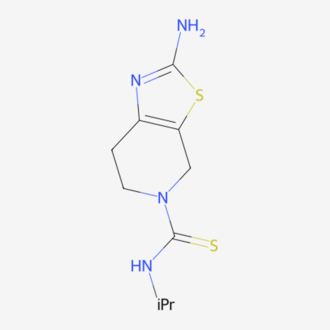 CC(C)NC(=S)N1CCc2nc(N)sc2C1